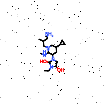 CCN1C(O)CN(C2CC(C3CC3)CN(CC(C)CN)C2NC)C1O